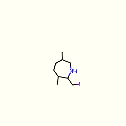 CC1CCC(C)C(CI)NC1